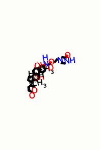 C[C@]12CC[C@H](NC(=O)OCCN3CCNC(=O)C3)C[C@@]1(O)CC[C@@H]1[C@@H]2CC[C@]2(C)[C@@H](c3ccc(=O)oc3)CC[C@]12O